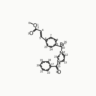 COC(=O)C=Cc1ccc(C[n+]2ccn(C(=O)c3ccccc3)c2)cc1.[Br-]